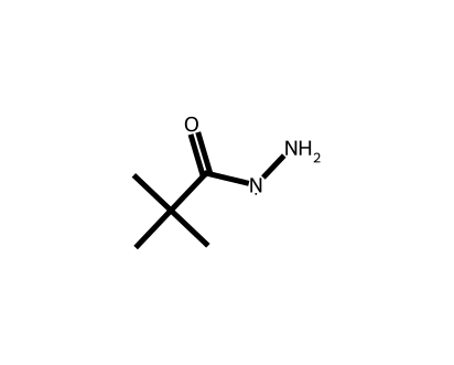 CC(C)(C)C(=O)[N]N